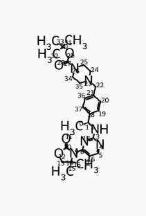 C[C@H](Nc1ncc(F)c(N2C(=O)OCC2(C)C)n1)c1ccc(CN2CCN(C(=O)OC(C)(C)C)CC2)cc1